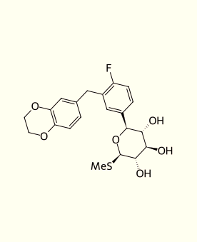 CS[C@H]1O[C@@H](c2ccc(F)c(Cc3ccc4c(c3)OCCO4)c2)[C@H](O)[C@@H](O)[C@@H]1O